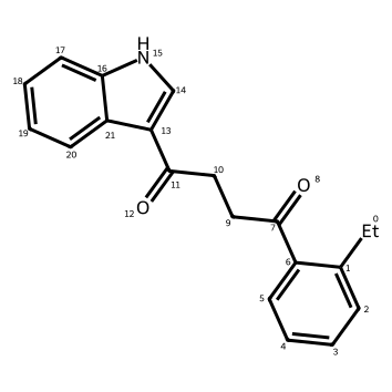 CCc1ccccc1C(=O)CCC(=O)c1c[nH]c2ccccc12